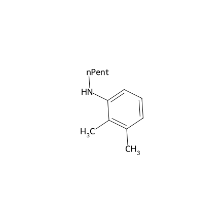 CCCCCNc1cccc(C)c1C